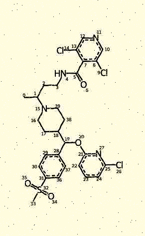 CC(CCNC(=O)c1c(Cl)cncc1Cl)N1CCC(C(Oc2cccc(Cl)n2)c2ccc(S(C)(=O)=O)cc2)CC1